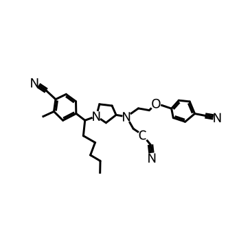 CCCCCC(c1ccc(C#N)c(C)c1)N1CCC(N(CCC#N)CCOc2ccc(C#N)cc2)C1